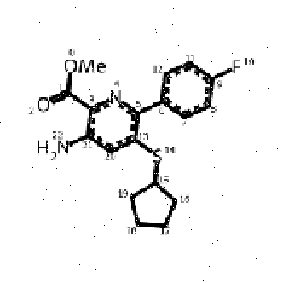 COC(=O)c1nc(-c2ccc(F)cc2)c(SC2CCCC2)cc1N